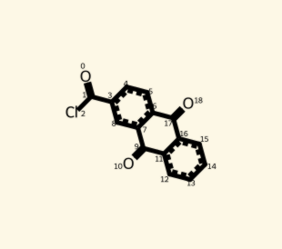 O=C(Cl)c1ccc2c(c1)C(=O)c1ccccc1C2=O